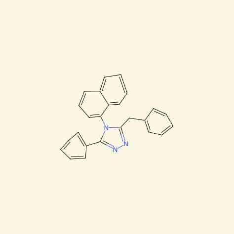 c1ccc(Cc2nnc(-c3ccccc3)n2-c2cccc3ccccc23)cc1